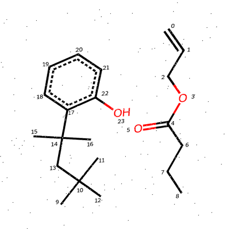 C=CCOC(=O)CCC.CC(C)(C)CC(C)(C)c1ccccc1O